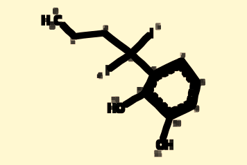 CCCC(I)(I)c1cccc(O)c1O